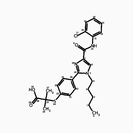 CCCCCn1cc(C(=O)Nc2ccccc2Cl)nc1-c1ccc(SC(C)(C)C(=O)O)cc1